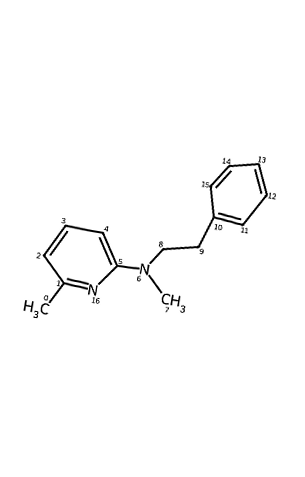 Cc1cccc(N(C)CCc2ccccc2)n1